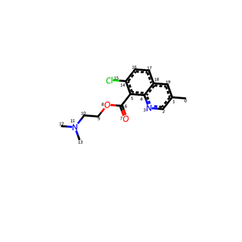 Cc1cnc2c(C(=O)OCCN(C)C)c(Cl)ccc2c1